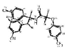 CC(c1cc(F)cc(C#N)c1)C(C)(NC(=O)C(C)(C)Oc1ccc(C(F)(F)F)cn1)c1ccc(Cl)cc1